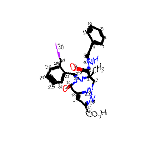 CC1(C(=O)NCc2ccccc2)Cn2nc(C(=O)O)cc2C(=O)N1Cc1ccccc1CI